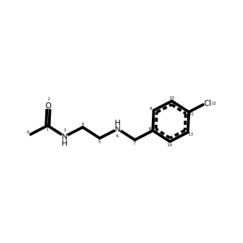 CC(=O)NCCNCc1ccc(Cl)cc1